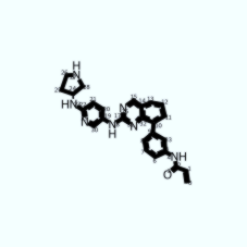 C=CC(=O)Nc1cccc(-c2cccc3cnc(Nc4ccc(N[C@@H]5CCNC5)nc4)nc23)c1